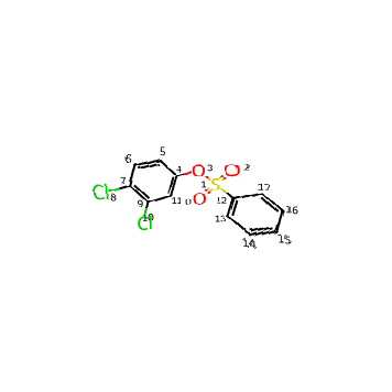 O=S(=O)(Oc1ccc(Cl)c(Cl)c1)c1ccccc1